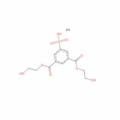 O=C(OCCO)c1cc(C(=O)OCCO)cc(S(=O)(=O)O)c1.[KH]